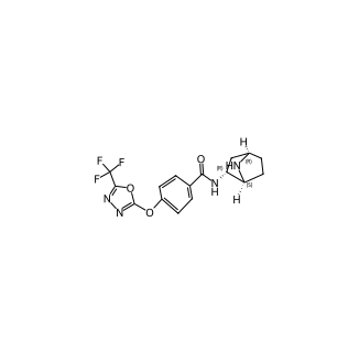 O=C(N[C@@H]1C[C@H]2CC[C@@H]1N2)c1ccc(Oc2nnc(C(F)(F)F)o2)cc1